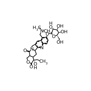 CC[C@@]1(O)C(=O)OCC2C(=O)N3Cc4cc5c(CN(C)C)c(O[C@@H]6O[C@H](CO)[C@H](O)[C@H](O)[C@H]6O)ccc5nc4C3CC21